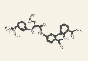 CC(C)OC[C@H](Nc1cccc(N(C)C)c1)C(=O)Nc1ccc2c(=O)[nH]c3c(C(N)=O)cccc3c2c1